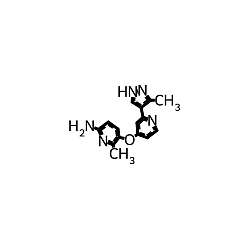 Cc1nc(N)ccc1Oc1ccnc(-c2c[nH]nc2C)c1